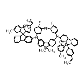 C=CC1=CCC(C2(c3cc(C)ccc3C)C3C=CC=CC3C3C=CC(N(C4=CC5=C(CC4)[Si](C)(C)c4ccc(N(C6=CC(F)=C(F)CC6)c6ccc7c(c6)C(C6=CCC(C=C)CC6)(C6CC(C)=CC=C6C)C6C=CC=CC76)cc45)C4=CC=C(F)C(F)C4)CC32)C=C1